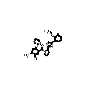 CCOc1c(F)cccc1-c1nc(C2CCCN2C(=O)c2cc(Cl)c(C)cc2-n2nccn2)no1